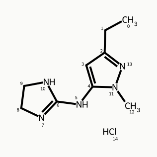 CCc1cc(NC2=NCCN2)n(C)n1.Cl